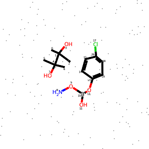 CC(C)(O)C(C)(C)O.NOB(O)Oc1ccc(Cl)cc1